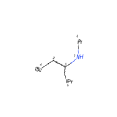 CC(C)NC(CC(C)(C)C)C(C)C